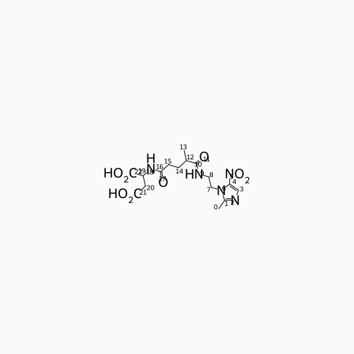 Cc1ncc([N+](=O)[O-])n1CCNC(=O)C(C)CCC(=O)NC(CC(=O)O)C(=O)O